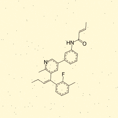 C/C=C/C(=O)Nc1cccc(-c2cnc(C)c(/C(=C\CC)c3cccc(C)c3F)c2)c1